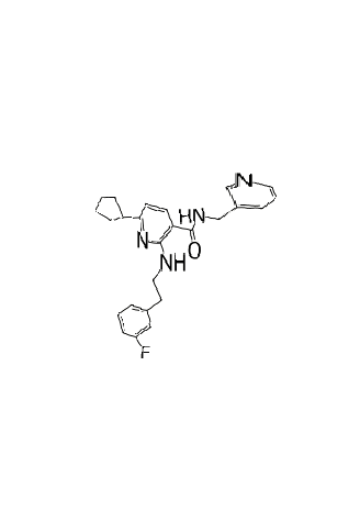 O=C(NCc1cccnc1)c1ccc(C2CCCC2)nc1NCCc1cccc(F)c1